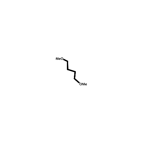 COCCCCOC